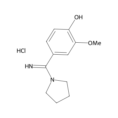 COc1cc(C(=N)N2CCCC2)ccc1O.Cl